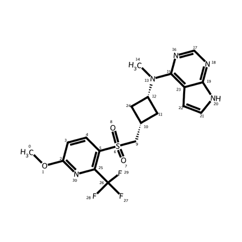 COc1ccc(S(=O)(=O)C[C@H]2C[C@@H](N(C)c3ncnc4[nH]ccc34)C2)c(C(F)(F)F)n1